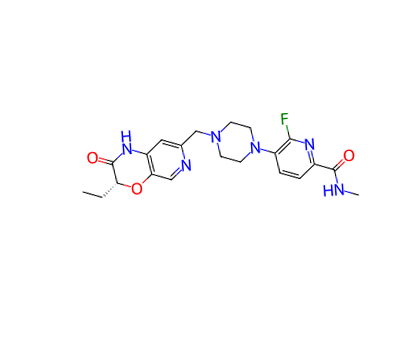 CC[C@H]1Oc2cnc(CN3CCN(c4ccc(C(=O)NC)nc4F)CC3)cc2NC1=O